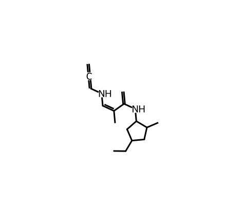 C=C=CN/C=C(/C)C(=C)NC1CC(CC)CC1C